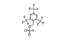 O=S(=O)(F)OCc1c(C(F)(F)F)cc(C(F)(F)F)cc1C(F)(F)F